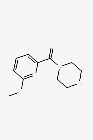 COc1cccc(C(=O)N2CCNCC2)n1